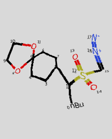 CCCCC(C1CCC2(CC1)OCCO2)S(=O)(=O)C=[N+]=[N-]